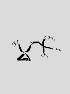 CC(C)(C)SS1(C)C=C1